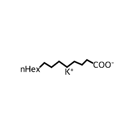 CCCCCCCCCCCCCC(=O)[O-].[K+]